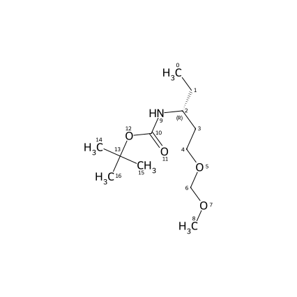 CC[C@H](CCOCOC)NC(=O)OC(C)(C)C